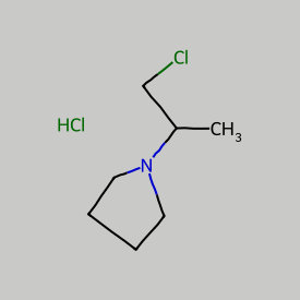 CC(CCl)N1CCCC1.Cl